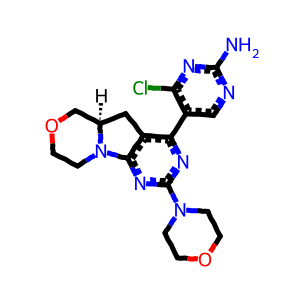 Nc1ncc(-c2nc(N3CCOCC3)nc3c2C[C@@H]2COCCN32)c(Cl)n1